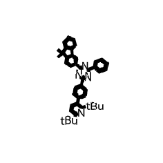 CC(C)(C)c1ccc(-c2ccc(-c3nc(-c4ccccc4)nc(-c4ccc5c(c4)-c4ccccc4C5(C)C)n3)cc2)c(C(C)(C)C)n1